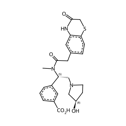 CN(C(=O)Cc1ccc2c(c1)NC(=O)CS2)[C@H](CN1CC[C@@H](O)C1)c1cccc(C(=O)O)c1